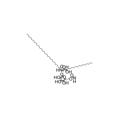 CCCCCCCCCCCCCCCCCCCCCCCCCC(=O)N[C@@H](CO[C@H]1O[C@H](CCOC(=O)NC)[C@H](O)[C@H](O)[C@H]1O)[C@H](O)[C@H](O)CCCCCCCCCCCCCC